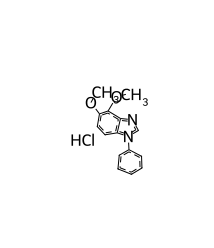 COc1ccc2c(ncn2-c2ccccc2)c1OC.Cl